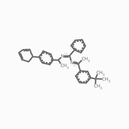 C/C(=N\C(=N/C(C)c1ccc(C2C=CC=CC2)cc1)c1ccccc1)c1cccc(C(C)(C)C)c1